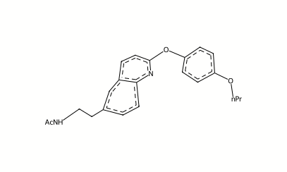 CCCOc1ccc(Oc2ccc3cc(CCNC(C)=O)ccc3n2)cc1